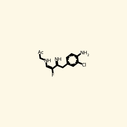 CC(=O)CN/C=C(/F)C(=N)Cc1ccc(N)c(Cl)c1